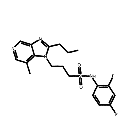 CCCc1nc2cncc(C)c2n1CCCS(=O)(=O)Nc1ccc(F)cc1F